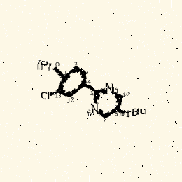 CC(C)c1ccc(-c2ncc(C(C)(C)C)cn2)cc1Cl